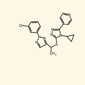 CC(Sc1nnc(-c2ccncc2)n1C1CC1)c1cnn(-c2cccc(Cl)c2)n1